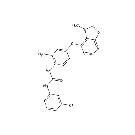 Cc1cc(Oc2ncnc3ccn(C)c23)ccc1NC(=O)Nc1cccc(C(F)(F)F)c1